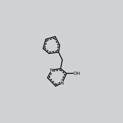 Oc1nccnc1Cc1ccccc1